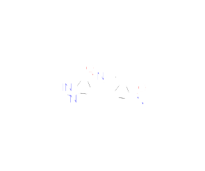 CC1C2Cc3ccc(C(=O)N(C)C)cc3C1(C)CCN2C(=O)c1ccc2nc[nH]c2c1